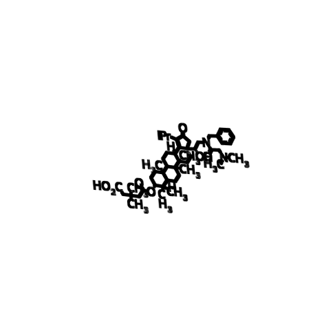 CC(C)C1=C2[C@H]3CCC4[C@@]5(C)CC[C@H](OC(=O)CC(C)(C)CC(=O)O)C(C)(C)[C@@H]5CC[C@@]4(C)[C@]3(C)CC[C@@]2([C@@H](O)CN(Cc2ccccc2)C(=O)CN(C)C)CC1=O